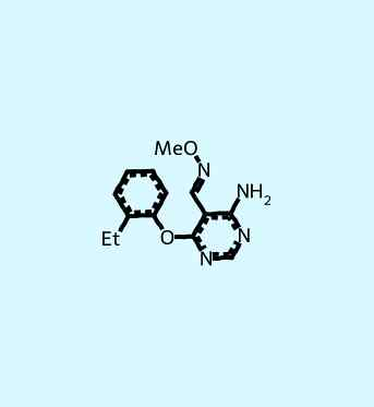 CCc1ccccc1Oc1ncnc(N)c1/C=N/OC